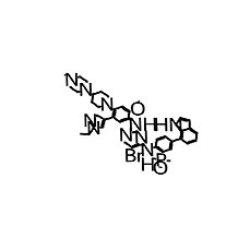 CCn1cc(-c2cc(Nc3ncc(Br)c(Nc4ccc(-c5cccc6cc[nH]c56)cc4P(C)(C)=O)n3)c(OC)cc2N2CCC(N3CCN(C)CC3)CC2)cn1